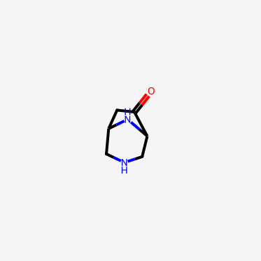 O=C1CC2CNCC1N2